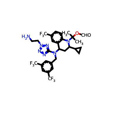 CC(C)(OC=O)N1c2ccc(C(F)(F)F)cc2C(N(Cc2cc(C(F)(F)F)cc(C(F)(F)F)c2)c2nnn(CCN)n2)CC1C1CC1